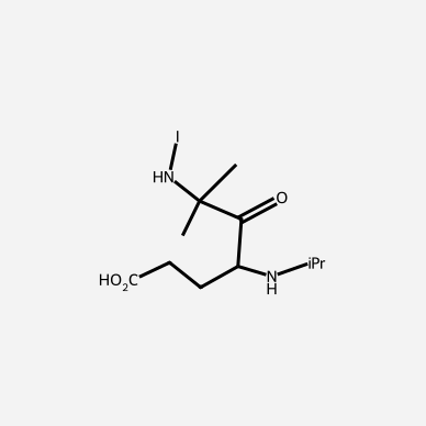 CC(C)NC(CCC(=O)O)C(=O)C(C)(C)NI